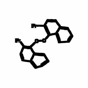 CC(C)c1ccc2ccccc2c1OOc1c(C(C)C)ccc2ccccc12